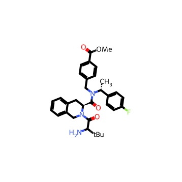 COC(=O)c1ccc(CN(C(=O)[C@@H]2Cc3ccccc3CN2C(=O)C(N)C(C)(C)C)[C@H](C)c2ccc(F)cc2)cc1